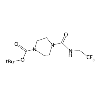 CC(C)(C)OC(=O)N1CCN(C(=O)NCC(F)(F)F)CC1